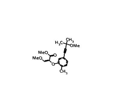 COC=C(Oc1cc(C#CC(C)(C)OC)ccc1C)C(=O)OC